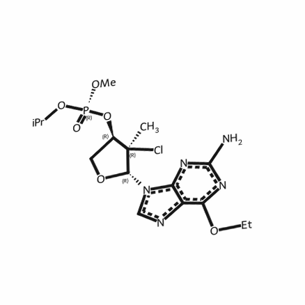 CCOc1nc(N)nc2c1ncn2[C@@H]1OC[C@@H](O[P@](=O)(OC)OC(C)C)[C@@]1(C)Cl